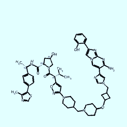 Cc1ncsc1-c1ccc([C@H](C)NC(=O)[C@@H]2C[C@@H](O)CN2C(=O)[C@@H](c2cc(N3CCC(CN4CCC(OC5CC(Cn6cnc(-c7cn8cc(-c9ccccc9O)nc8nc7N)c6)C5)CC4)CC3)no2)C(C)C)cc1